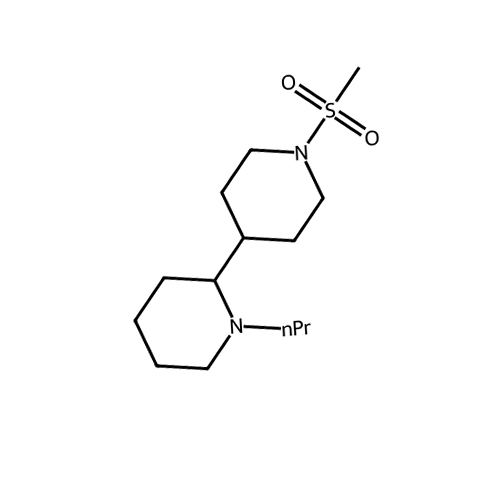 CCCN1CCCCC1C1CCN(S(C)(=O)=O)CC1